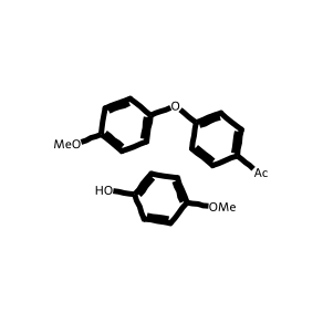 COc1ccc(O)cc1.COc1ccc(Oc2ccc(C(C)=O)cc2)cc1